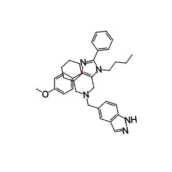 CCCCn1c(-c2ccccc2)nc(-c2ccc(OC)cc2)c1CN(Cc1ccc2[nH]ncc2c1)CC1CCCCC1